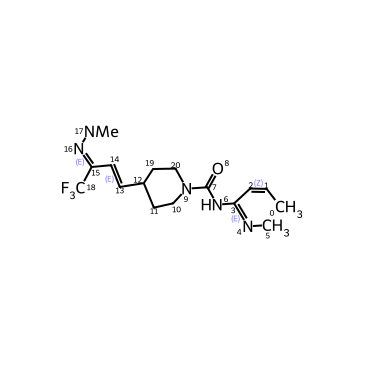 C/C=C\C(=N/C)NC(=O)N1CCC(/C=C/C(=N\NC)C(F)(F)F)CC1